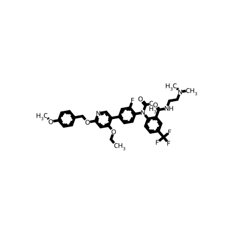 CCOc1cc(OCc2ccc(OC)cc2)ncc1-c1ccc(N(C(C)=O)c2ccc(C(F)(F)F)cc2C(=O)NCCN(C)C)c(F)c1